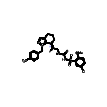 COc1ccc(Cl)cc1S(=O)(=O)NC(=O)NC/C(F)=C1\CCCc2cnn(Cc3ccc(C(F)(F)F)cc3)c21